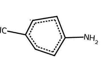 N#Cc1[c]cc(N)cc1